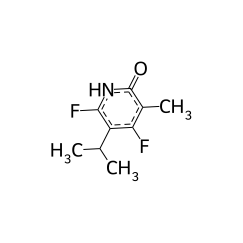 Cc1c(F)c(C(C)C)c(F)[nH]c1=O